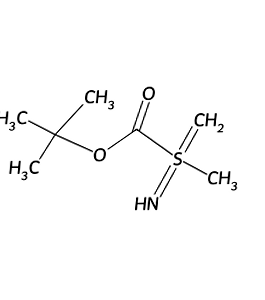 C=S(C)(=N)C(=O)OC(C)(C)C